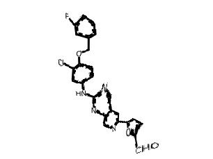 O=Cc1ccc(-c2cc3cnc(Nc4ccc(OCc5cccc(F)c5)c(Cl)c4)nc3cn2)o1